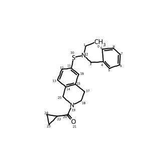 CCN(Cc1ccccc1)Sc1ccc2c(c1)CCN(C(=O)C1CC1)C2